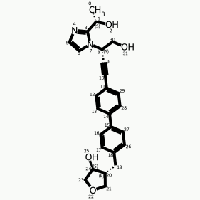 C[C@H](O)c1nccn1[C@@H](C#Cc1ccc(-c2ccc(C[C@@H]3COC[C@H]3O)cc2)cc1)CO